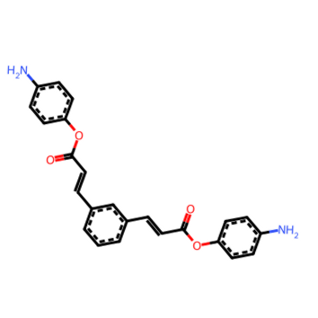 Nc1ccc(OC(=O)C=Cc2cccc(C=CC(=O)Oc3ccc(N)cc3)c2)cc1